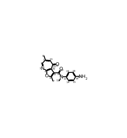 Cc1cnc2oc(C)c(C(=O)N(C)c3ccc(N)cc3)c2c(=O)c1